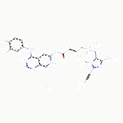 CC#Cc1nc([N+](=O)[O-])c(C[N+](C)(C)CC=CC(=O)Nc2cc3c(Nc4ccc(F)c(Br)c4)ncnc3cn2)n1C.[Br-]